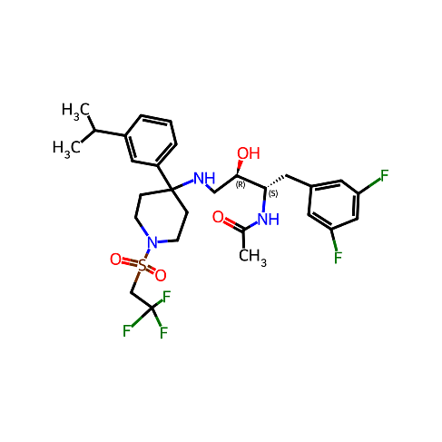 CC(=O)N[C@@H](Cc1cc(F)cc(F)c1)[C@H](O)CNC1(c2cccc(C(C)C)c2)CCN(S(=O)(=O)CC(F)(F)F)CC1